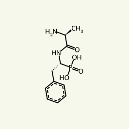 C[C@H](N)C(=O)N[C@@H](Cc1ccccc1)P(=O)(O)O